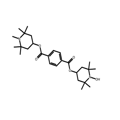 CN1C(C)(C)CC(OC(=O)c2ccc(C(=O)OC3CC(C)(C)N(O)C(C)(C)C3)cc2)CC1(C)C